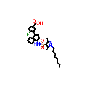 CCCCCCCCn1nc(C)c(S(=O)(=O)Nc2ccc(-c3cc(C(=O)O)ccc3F)c3ccccc23)c1C